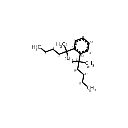 [Li][C](C)(CCCC)c1ccccc1[C]([Li])(C)CCCC